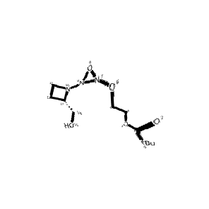 CC(C)(C)C(=O)OCCOn1on1N1CC[C@H]1CO